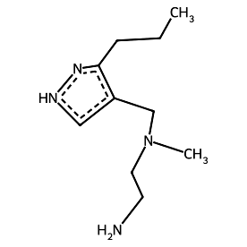 CCCc1n[nH]cc1CN(C)CCN